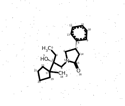 CC[C@@](O)(CN1C[C@H](c2ccccc2)CC1=O)C1(C)CCCC1